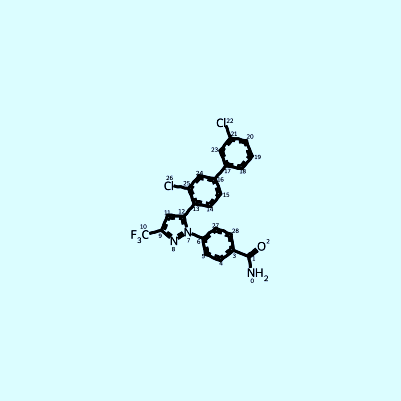 NC(=O)c1ccc(-n2nc(C(F)(F)F)cc2-c2ccc(-c3cccc(Cl)c3)cc2Cl)cc1